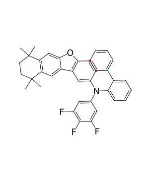 CC1(C)CCC(C)(C)c2cc3c(cc21)oc1ccc(N(c2cc(F)c(F)c(F)c2)c2ccccc2-c2ccccc2)cc13